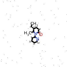 C=Cc1ccc(=O)n(-c2ccccn2)c1C